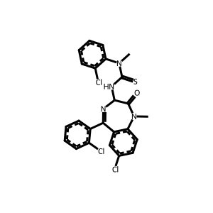 CN(C(=S)NC1N=C(c2ccccc2Cl)c2cc(Cl)ccc2N(C)C1=O)c1ccccc1Cl